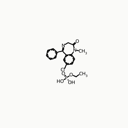 CCOP(=O)(O)O.CN1C(=O)CN=C(c2ccccc2)c2cc(Cl)ccc21